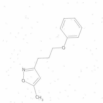 Cc1cc(CCCOc2ccccc2)no1